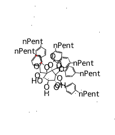 CCCCCc1ccc(C(=O)O[C@@]2(C(=O)c3ccc(CCCCC)cc3)[C@@](OC(=O)c3ccc(CCCCC)cc3)(C(=O)c3ccc(CCCCC)cc3)[C@@H](O)[C@H](O)[C@@H](O)[C@@]2(OC(=O)c2ccc(CCCCC)cc2)C(=O)c2ccc(CCCCC)cc2)cc1